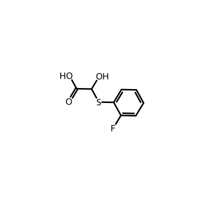 O=C(O)C(O)Sc1ccccc1F